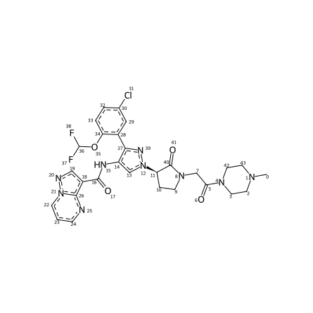 CN1CCN(C(=O)CN2CC[C@@H](n3cc(NC(=O)c4cnn5cccnc45)c(-c4cc(Cl)ccc4OC(F)F)n3)C2=O)CC1